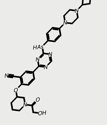 N#Cc1cc(-c2ncnc([AsH]c3ccc(N4CCN(C5COC5)CC4)cc3)n2)ccc1OC1CCCN(C(=O)CO)C1